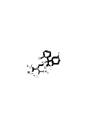 CC(C)N(CCNC1(c2ccccc2Cl)C(=O)Nc2ccc(Cl)cc21)C(C)C